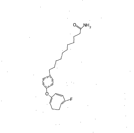 NC(=O)CCCCCCCCCCc1ccc(OC2=C/CC/C=C(F)/C=C\2)cc1